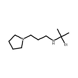 CCC(C)(C)NCCCN1CCCC1